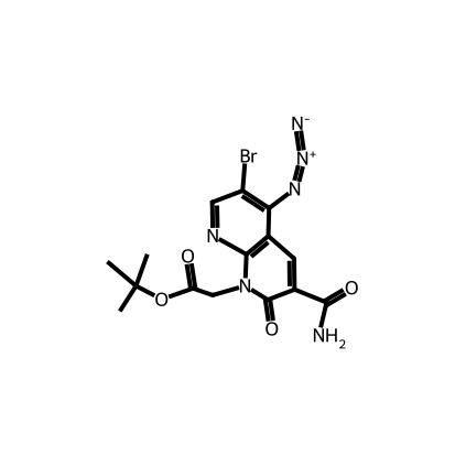 CC(C)(C)OC(=O)Cn1c(=O)c(C(N)=O)cc2c(N=[N+]=[N-])c(Br)cnc21